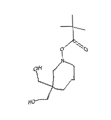 CC(C)(C)C(=O)ON1CCCC(CO)(CO)C1